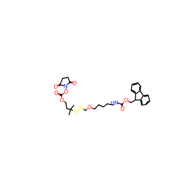 CC(C)(CCOC(=O)ON1C(=O)CCC1=O)SSCOCCCCCNC(=O)OCC1c2ccccc2-c2ccccc21